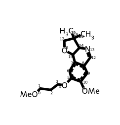 COCCCOc1cc2c(cc1OC)C=NC1C2OCC1(C)C